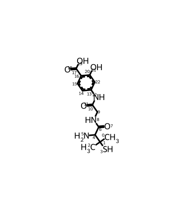 CC(C)(S)C(N)C(=O)NCC(=O)Nc1ccc(C(=O)O)c(O)c1